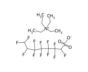 CC[N+](CC)(CC)CC.O=S(=O)([O-])C(F)C(F)(F)C(F)(F)C(F)(F)C(F)(F)C(F)C(F)F